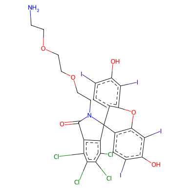 NCCOCCOCCN1C(=O)c2c(Cl)c(Cl)c(Cl)c(Cl)c2C12c1cc(I)c(O)c(I)c1Oc1c2cc(I)c(O)c1I